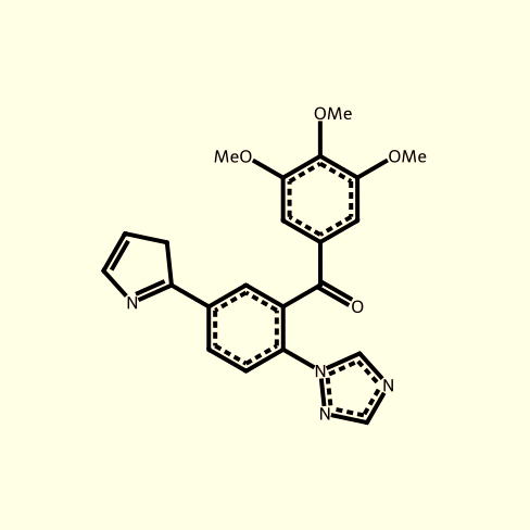 COc1cc(C(=O)c2cc(C3=NC=CC3)ccc2-n2cncn2)cc(OC)c1OC